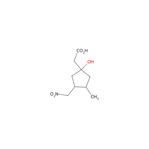 CC1CC(O)(CC(=O)O)CC1C[N+](=O)[O-]